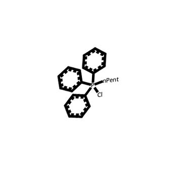 CCCCCP(Cl)(c1ccccc1)(c1ccccc1)c1ccccc1